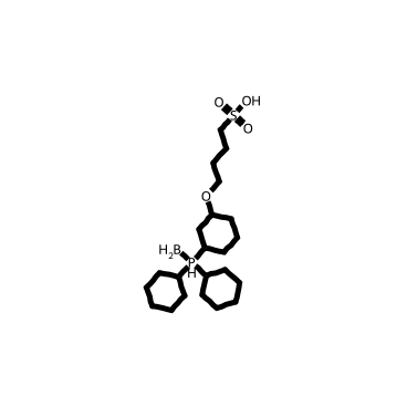 B[PH](C1CCCCC1)(C1CCCCC1)C1CCCC(OCCCCS(=O)(=O)O)C1